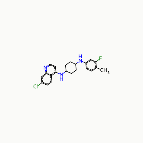 Cc1ccc(NC2CCC(Nc3ccnc4cc(Cl)ccc34)CC2)cc1F